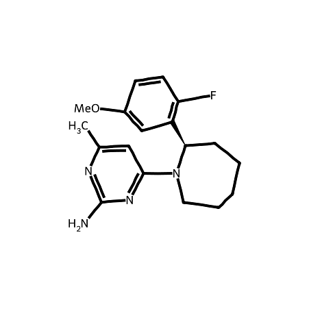 COc1ccc(F)c([C@H]2CCCCCN2c2cc(C)nc(N)n2)c1